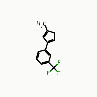 CC1=CC(c2cccc(C(F)(F)F)c2)=CC1